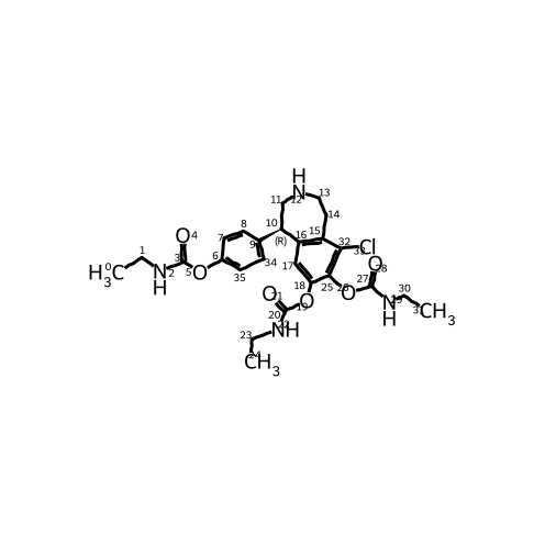 CCNC(=O)Oc1ccc([C@H]2CNCCc3c2cc(OC(=O)NCC)c(OC(=O)NCC)c3Cl)cc1